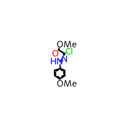 COC(=O)/C(Cl)=N\Nc1ccc(OC)cc1